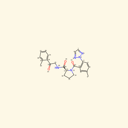 Cc1ccc(-n2nccn2)c(C(=O)N2CCC[C@H]2C(=O)NCC(=O)c2ccccc2C)c1